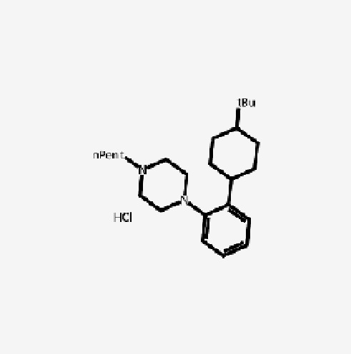 CCCCCN1CCN(c2ccccc2C2CCC(C(C)(C)C)CC2)CC1.Cl